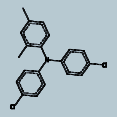 Cc1ccc(N(c2ccc(Cl)cc2)c2ccc(Cl)cc2)c(C)c1